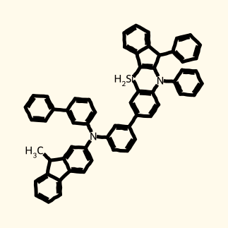 CC1c2ccccc2-c2ccc(N(c3cccc(-c4ccccc4)c3)c3cccc(-c4ccc5c(c4)[SiH2]C4=C(C(c6ccccc6)c6ccccc64)N5c4ccccc4)c3)cc21